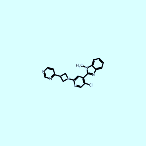 Cn1c(-c2cc(N3CC(c4ccncn4)C3)ncc2Cl)nc2ccccc21